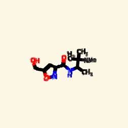 CNC(C)(C)C(C)NC(=O)c1cc(CO)on1